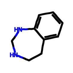 c1ccc2c(c1)CCNCN2